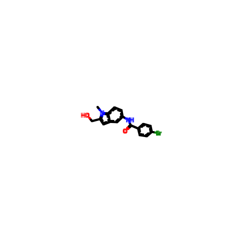 Cn1c(CO)cc2cc(NC(=O)c3ccc(Br)cc3)ccc21